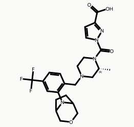 C[C@@H]1CN(Cc2ccc(C(F)(F)F)cc2N2C3CCC2COC3)CCN1C(=O)n1ccc(C(=O)O)n1